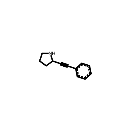 C(#CC1CCCN1)c1ccccc1